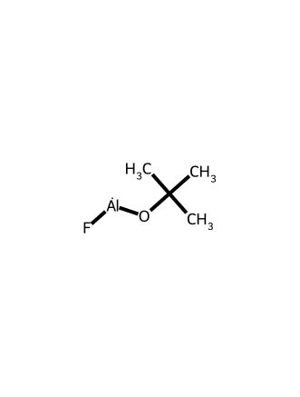 CC(C)(C)[O][Al][F]